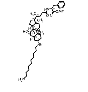 COC(=O)[C@H](Cc1ccccc1)NC(=O)CC[C@@H](C)[C@H]1CC[C@H]2[C@@H]3[C@H](O)C[C@@H]4C[C@@H](NCCCCCCCCCCN)CC[C@]4(C)[C@H]3CC[C@]12C